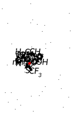 C=C(O)C(C)(C)COc1ccccc1C1(O)CCN(C(=O)[C@]2(Oc3csc(C(F)(F)F)c3)CCCN(C(=O)c3cnccc3C(F)(F)F)[C@@H]2CCC)CC1